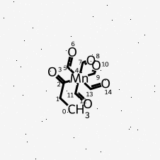 CC[C](=O)[Mn]([CH]=O)([CH]=O)([CH]=O)([CH]=O)[CH]=O